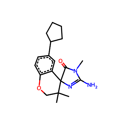 CN1C(=O)C2(N=C1N)c1cc(C3CCCC3)ccc1OCC2(C)C